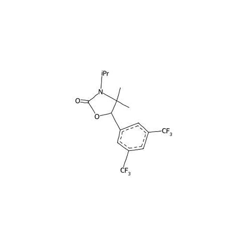 CC(C)N1C(=O)OC(c2cc(C(F)(F)F)cc(C(F)(F)F)c2)C1(C)C